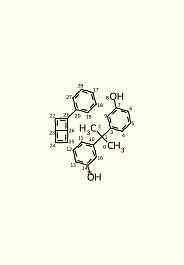 CC(C)(c1cccc(O)c1)c1cccc(O)c1.c1ccc(-c2cc3ccc2-3)cc1